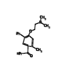 CCCC(=O)c1cc(C(C)C)c(OCCN(C)C)cc1C